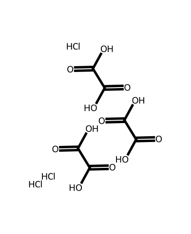 Cl.Cl.Cl.O=C(O)C(=O)O.O=C(O)C(=O)O.O=C(O)C(=O)O